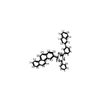 c1ccc(-c2nc(-c3cccc(-c4ccc5ccccc5c4)c3)nc(-c3ccc4ccc5c6ccccc6ccc5c4c3)n2)cc1